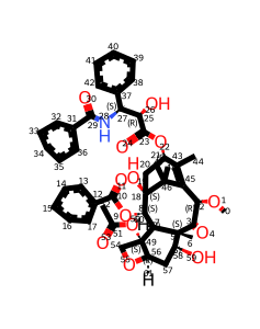 CO[C@H]1C(=O)[C@@]2(C)[C@H]([C@H](OC(=O)c3ccccc3)[C@]3(O)C[C@H](OC(=O)[C@H](O)[C@@H](NC(=O)c4ccccc4)c4ccccc4)C(C)=C1C3(C)C)[C@]1(OC(C)=O)CO[C@@H]1C[C@@H]2O